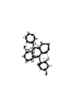 Fc1ccc(-c2c3ccccc3c(-c3ccccc3)c3c(F)cccc23)c(F)c1